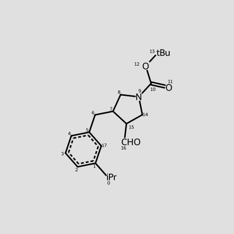 CC(C)c1cccc(CC2CN(C(=O)OC(C)(C)C)CC2C=O)c1